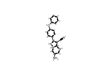 N#Cc1c(-c2ccc(Oc3ccccc3)cc2)nn2cc(N)cnc12